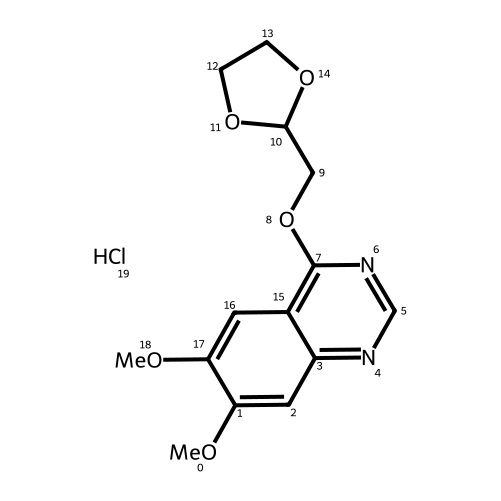 COc1cc2ncnc(OCC3OCCO3)c2cc1OC.Cl